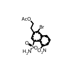 CC(=O)OCCc1cc(S(N)(=O)=O)c2c([N+](=O)[O-])cccc2c1Br